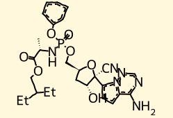 CCC(CC)COC(=O)[C@H](C)NP(=O)(OC[C@@H]1C[C@@H](O)[C@](C#N)(c2ccc3c(N)ncnn23)O1)Oc1ccccc1